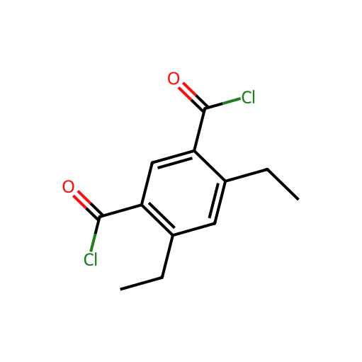 CCc1cc(CC)c(C(=O)Cl)cc1C(=O)Cl